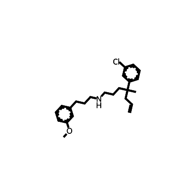 C=CCC(C)(CCCNCCCc1cccc(OC)c1)c1cccc(Cl)c1